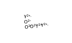 [O-2].[O-2].[O-2].[Y+2].[Y+2].[Y+2]